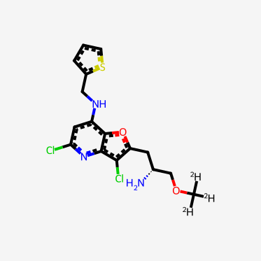 [2H]C([2H])([2H])OC[C@H](N)Cc1oc2c(NCc3cccs3)cc(Cl)nc2c1Cl